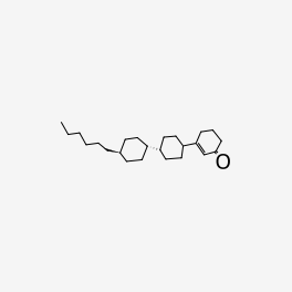 CCCCCC[C@H]1CC[C@H](C2CCC(C3=CC(=O)CCC3)CC2)CC1